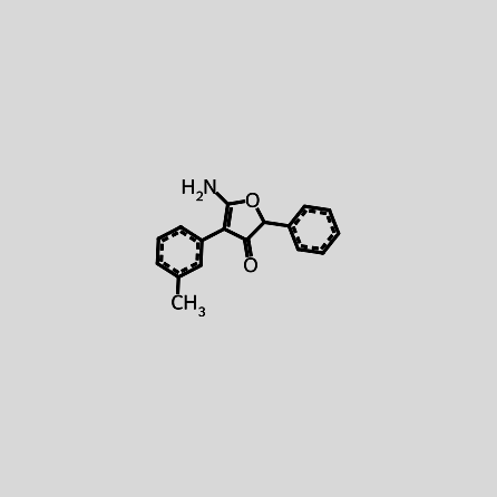 Cc1cccc(C2=C(N)OC(c3ccccc3)C2=O)c1